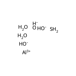 O.O.S.[Al+3].[OH-].[OH-].[OH-]